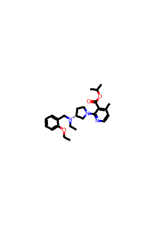 CCOc1ccccc1CN(CC)[C@@H]1CCN(c2nccc(C)c2C(=O)OC(C)C)C1